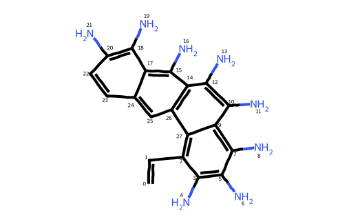 C=Cc1c(N)c(N)c(N)c2c(N)c(N)c3c(N)c4c(N)c(N)ccc4cc3c12